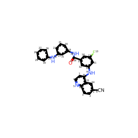 N#Cc1ccc2nccc(Nc3cc(F)cc(C(=O)Nc4cccc(Nc5ccccc5)c4)c3)c2c1